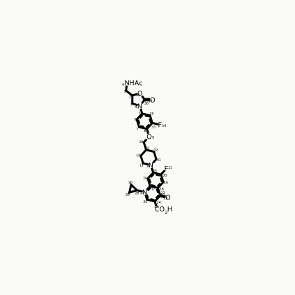 CC(=O)NCC1CN(c2ccc(OCC3CCN(c4cc5c(cc4F)c(=O)c(C(=O)O)cn5C4CC4)CC3)c(F)c2)C(=O)O1